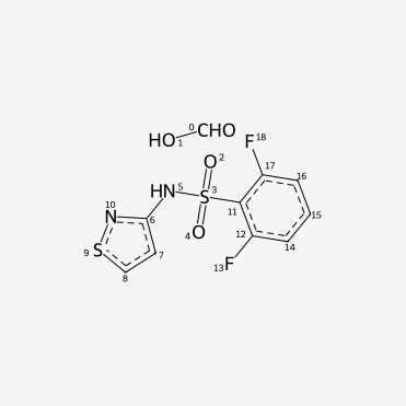 O=CO.O=S(=O)(Nc1ccsn1)c1c(F)cccc1F